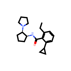 CCc1cccc(C2CC2)c1C(=O)N[C@H]1CCC[C@H]1N1CCCC1